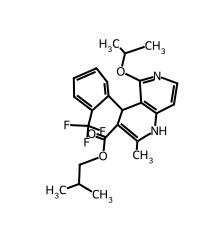 CC1=C(C(=O)OCC(C)C)C(c2ccccc2C(F)(F)F)c2c(ccnc2OC(C)C)N1